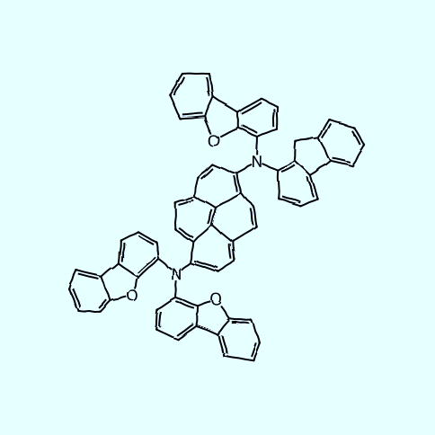 c1ccc2c(c1)Cc1c-2cccc1N(c1ccc2ccc3c(N(c4cccc5c4oc4ccccc45)c4cccc5c4oc4ccccc45)ccc4ccc1c2c43)c1cccc2c1oc1ccccc12